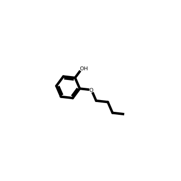 CCCCOc1c[c]ccc1O